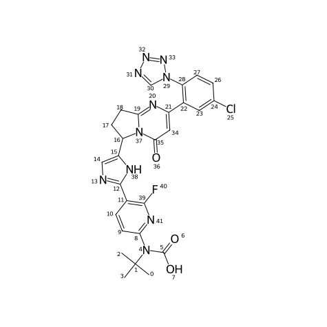 CC(C)(C)N(C(=O)O)c1ccc(-c2ncc(C3CCc4nc(-c5cc(Cl)ccc5-n5cnnn5)cc(=O)n43)[nH]2)c(F)n1